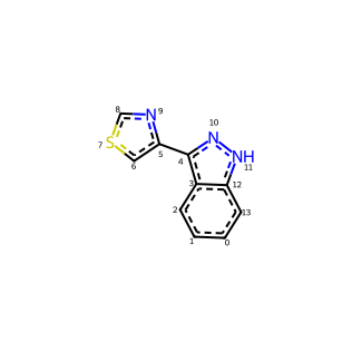 c1ccc2c(-c3cscn3)n[nH]c2c1